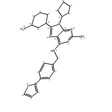 Nc1nc(NCc2ccc(-c3ccco3)cc2)c2nc(C3CCCC(N)C3)n(C3CCCC3)c2n1